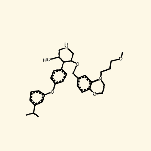 COCCCN1CCOc2ccc(COC3CNCC(O)C3c3ccc(Oc4cccc(C(C)C)c4)cc3)cc21